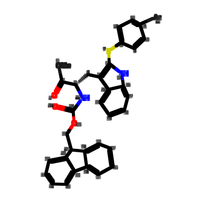 COC(=O)[C@H](Cc1c(Sc2ccc(C(C)=O)cc2)[nH]c2ccccc12)NC(=O)OCC1c2ccccc2-c2ccccc21